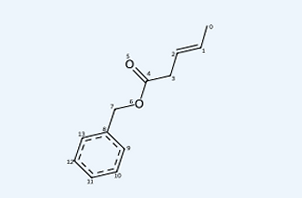 C/C=C/CC(=O)OCc1ccccc1